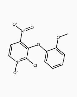 COc1ccccc1Oc1c([N+](=O)[O-])cc[n+]([O-])c1Cl